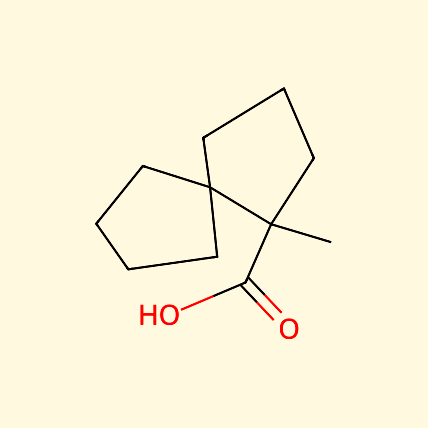 CC1(C(=O)O)CCCC12CCCC2